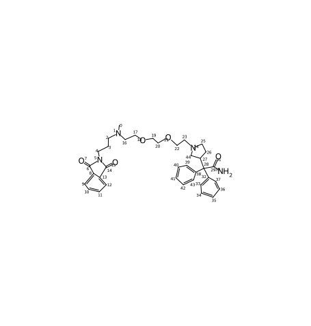 CN(CCCN1C(=O)c2ccccc2C1=O)CCOCCOCCN1CCC(C(C(N)=O)(c2ccccc2)c2ccccc2)C1